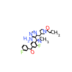 C=CC(=O)N1CCC(Cc2ncnc(N)c2/C(=N\C)c2ccc(C(=O)c3cccc(F)c3)cc2F)C1